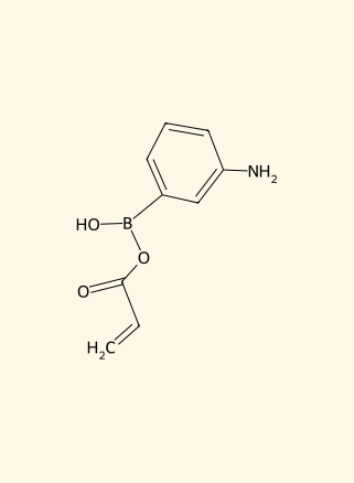 C=CC(=O)OB(O)c1cccc(N)c1